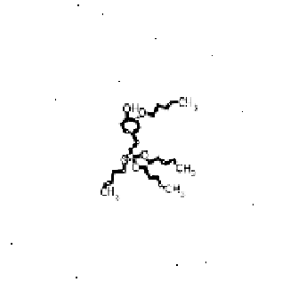 CCCCCOC1CC(CC[Si](OCCCCC)(OCCCCC)OCCCCC)CCC1O